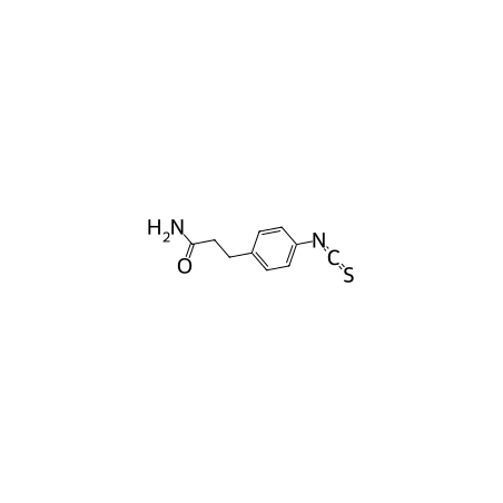 NC(=O)CCc1ccc(N=C=S)cc1